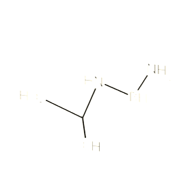 CC(C)NBN